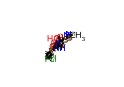 Cc1nnc(SCC2=C(C(=O)O)N3C(=O)C(NC(=O)CSc4ccc(F)c(Cl)c4)[C@H]3SC2)s1